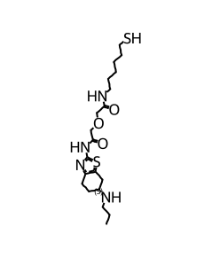 CCCN[C@H]1CCc2nc(NC(=O)COCC(=O)NCCCCCCS)sc2C1